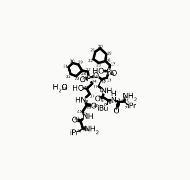 CCC(C)[C@H](NC(=O)[C@@H](N)C(C)C)C(=O)NC[C@H](CP(=O)(O)CC1CCCCC1)OP(=O)(CC1CCCCC1)C[C@H](O)CNC(=O)CNC(=O)[C@@H](N)C(C)C.O